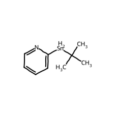 C[C](C)(C)[SnH2][c]1ccccn1